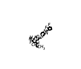 C=C(/C=C(/Cn1ccc2nc(-c3cccc(F)c3F)nc-2c1)ON)/C(C(=C)C(F)(F)F)=C(F)/C=C\C